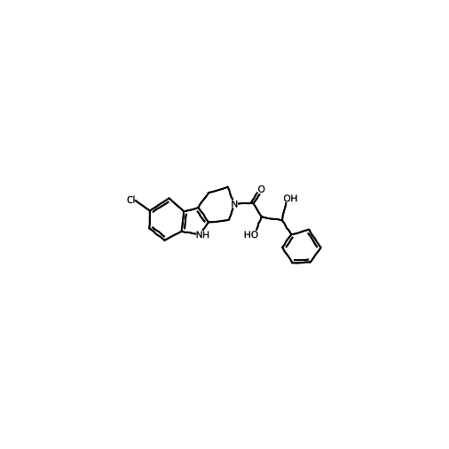 O=C(C(O)C(O)c1ccccc1)N1CCc2c([nH]c3ccc(Cl)cc23)C1